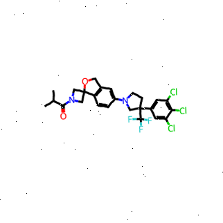 CC(C)C(=O)N1CC2(C1)OCc1cc(N3CCC(c4cc(Cl)c(Cl)c(Cl)c4)(C(F)(F)F)C3)ccc12